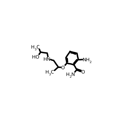 CC(O)CNCC(C)Oc1cccc(N)c1C(N)=O